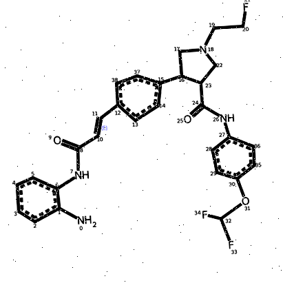 Nc1ccccc1NC(=O)/C=C/c1ccc(C2CN(CCF)CC2C(=O)Nc2ccc(OC(F)F)cc2)cc1